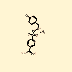 C[C@@H](Cc1ccc([O])cc1)NS(=O)(=O)c1ccc(C(=N)N)cc1